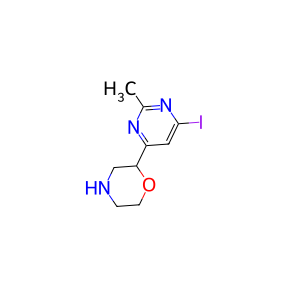 Cc1nc(I)cc(C2CNCCO2)n1